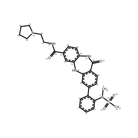 CN(c1ccccc1-c1ccc2c(c1)Nc1cc(C(=O)NCCN3CCCC3)ccc1NC2=O)S(C)(=O)=O